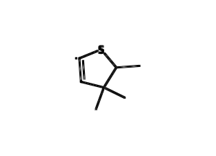 CC1S[C]=CC1(C)C